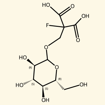 O=C(O)C(F)(COC1O[C@H](CO)[C@@H](O)[C@H](O)[C@H]1O)C(=O)O